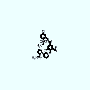 CCS(=O)(=O)c1ccc(Cl)cc1CNC(=O)c1cc(Cl)c(CN2CCC[C@H](N3CCC[C@@H]3C(N)=O)C2)c(C(F)(F)F)c1